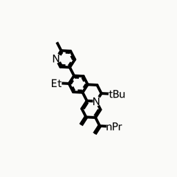 C=C1C=C2c3cc(CC)c(-c4ccc(C)nc4)cc3CC(C(C)(C)C)N2C=C1C(=C)CCC